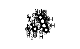 C=CCOC1=NS(=O)(=O)c2ccccc21.CN(C)[C@@H]1C(O)=C(C(N)=O)C(=O)[C@@]2(O)C(O)=C3C(=O)c4c(O)cccc4[C@@](C)(O)[C@H]3[C@H](O)[C@@H]12.O.O